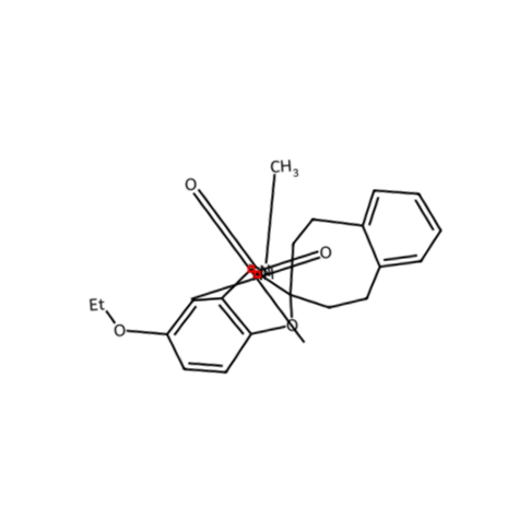 CCOc1ccc2c(c1)C1(NC(=O)N(C)C1=O)C1(CCc3ccccc3CC1)O2